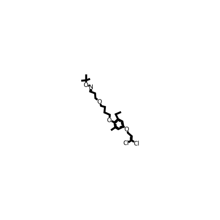 CCc1cc(OCC=C(Cl)Cl)cc(C)c1OCCCCOCCC=NOC(C)(C)C